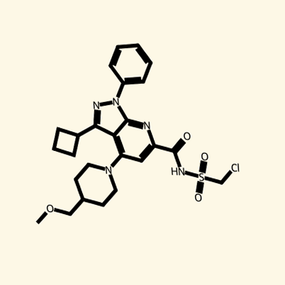 COCC1CCN(c2cc(C(=O)NS(=O)(=O)CCl)nc3c2c(C2CCC2)nn3-c2ccccc2)CC1